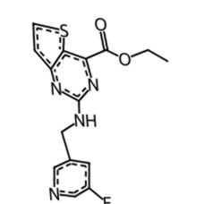 CCOC(=O)c1nc(NCc2cncc(F)c2)nc2ccsc12